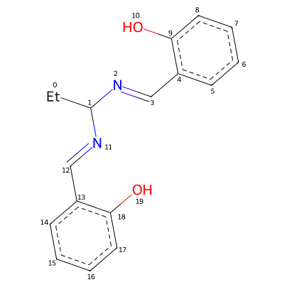 CCC(N=Cc1ccccc1O)N=Cc1ccccc1O